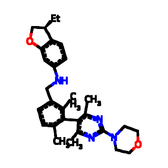 CC[C@@H]1COc2cc(NCc3ccc(C)c(-c4c(C)nc(N5CCOCC5)nc4C)c3C)ccc21